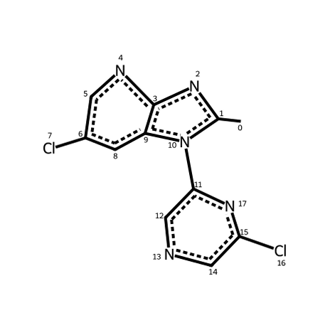 Cc1nc2ncc(Cl)cc2n1-c1cncc(Cl)n1